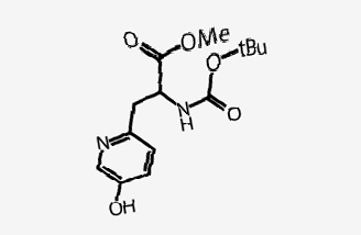 COC(=O)C(Cc1ccc(O)cn1)NC(=O)OC(C)(C)C